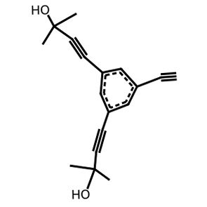 C#Cc1cc(C#CC(C)(C)O)cc(C#CC(C)(C)O)c1